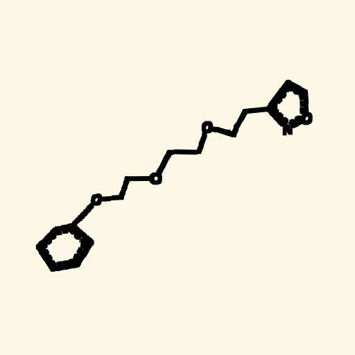 c1ccc(OCCOCCOCCc2ccon2)cc1